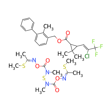 CS/C(C)=N\OC(=O)N(C)SN(C)C(=O)O/N=C(/C)SC.Cc1c(COC(=O)C2C(/C=C(\Cl)C(F)(F)F)C2(C)C)cccc1-c1ccccc1